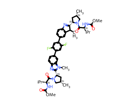 COC(=O)N[C@H](C(=O)N1C[C@@H](C)C[C@H]1C1=Nc2ccc(-c3cc(F)c(-c4ccc5nc([C@@H]6C[C@H](C)CN6C(=O)[C@@H](NC(=O)OC)C(C)C)n(C)c5c4)cc3F)cc2C1C)C(C)C